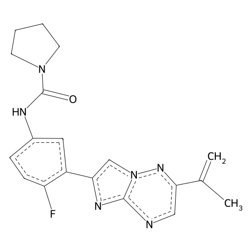 C=C(C)c1cnc2nc(-c3cc(NC(=O)N4CCCC4)ccc3F)cn2n1